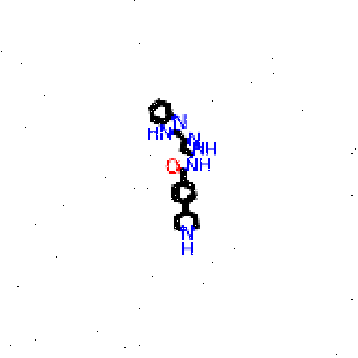 O=C(Nc1cc(-c2nc3ccccc3[nH]2)n[nH]1)c1ccc(C2CCNCC2)cc1